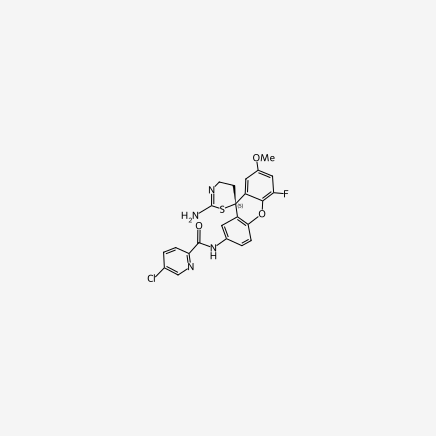 COc1cc(F)c2c(c1)[C@]1(CCN=C(N)S1)c1cc(NC(=O)c3ccc(Cl)cn3)ccc1O2